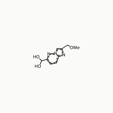 COCc1cn2nc(C(O)O)ccc2n1